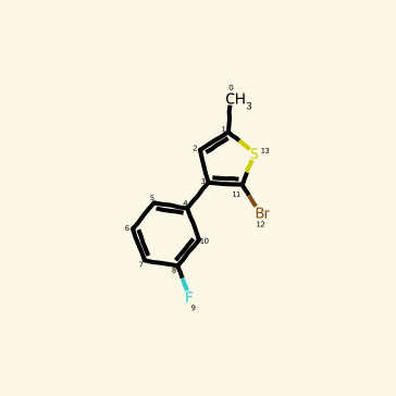 Cc1cc(-c2cccc(F)c2)c(Br)s1